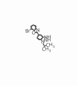 CC(C)CN1NNc2cc(-c3nc4cccc(Br)c4o3)ccc21